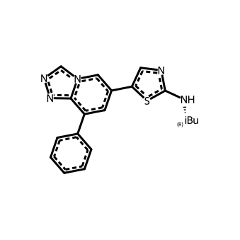 CC[C@@H](C)Nc1ncc(-c2cc(-c3ccccc3)c3nncn3c2)s1